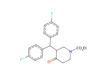 CCOC(=O)N1CCC(=O)C(C(c2ccc(F)cc2)c2ccc(F)cc2)C1